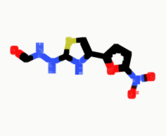 O=CNNC1NC(c2ccc([N+](=O)[O-])o2)=CS1